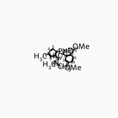 CCCC(C)(Pc1ccc(C)cc1CN(C)C)c1cc(OC)ccc1OCOC